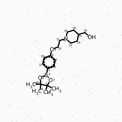 CC1(C)OB(c2ccc(OCCN3CCC(CO)CC3)cc2)OC1(C)C